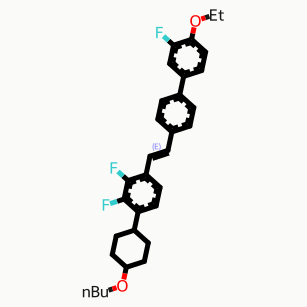 CCCCOC1CCC(c2ccc(/C=C/c3ccc(-c4ccc(OCC)c(F)c4)cc3)c(F)c2F)CC1